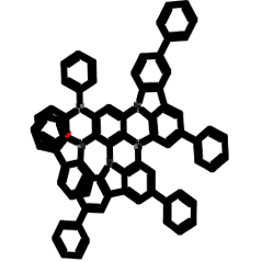 c1ccc(-c2ccc3c(c2)-c2cc(-c4ccccc4)cc4c2B3c2cc(N(c3ccccc3)c3ccccc3)c(-n3c5ccccc5c5ccccc53)c3c2N4c2cc(-c4ccccc4)cc4c2B3c2ccc(-c3ccccc3)cc2-4)cc1